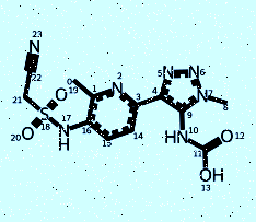 Cc1nc(-c2nnn(C)c2NC(=O)O)ccc1NS(=O)(=O)CC#N